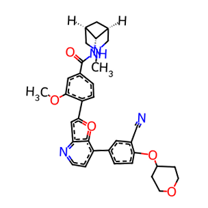 COc1cc(C(=O)N[C@@H]2[C@@H]3C[C@H]2CN(C)C3)ccc1-c1cc2nccc(-c3ccc(OC4CCOCC4)c(C#N)c3)c2o1